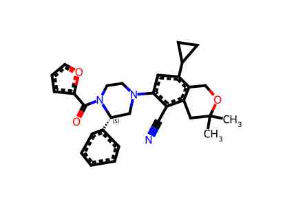 CC1(C)Cc2c(C#N)c(N3CCN(C(=O)c4ccco4)[C@@H](c4ccccc4)C3)cc(C3CC3)c2CO1